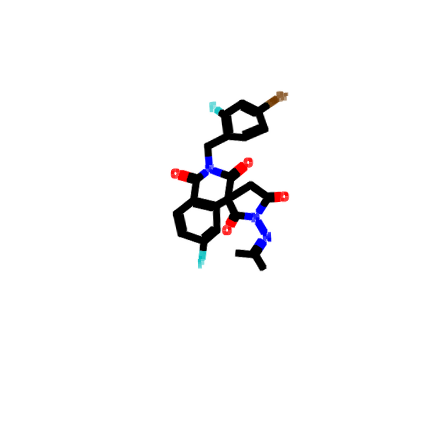 CC(C)=NN1C(=O)CC2(C(=O)N(Cc3ccc(Br)cc3F)C(=O)c3ccc(F)cc32)C1=O